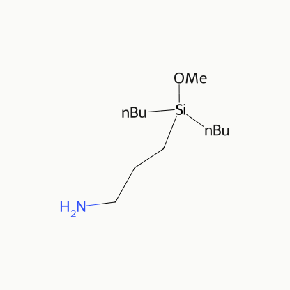 CCCC[Si](CCCC)(CCCN)OC